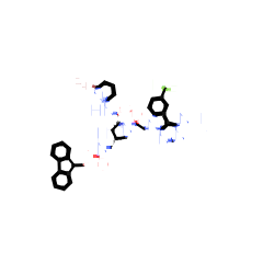 Nc1ncnc2c1c1cc(C(F)(F)F)ccc1n2CC(=O)N1C[C@@H](CNC(=O)OCC2c3ccccc3-c3ccccc32)C[C@H]1C(=O)Nc1cccc(Br)n1